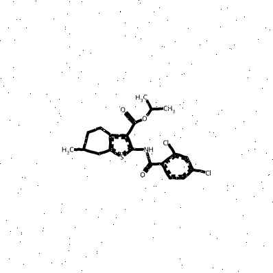 CC1CCc2c(sc(NC(=O)c3ccc(Cl)cc3Cl)c2C(=O)OC(C)C)C1